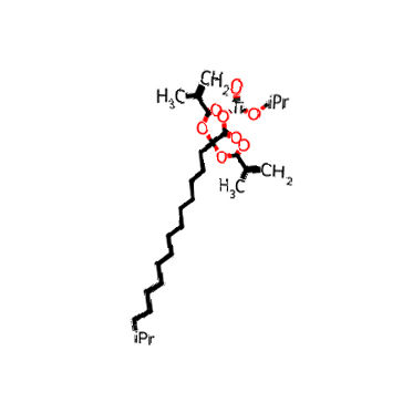 C=C(C)C(=O)OC(CCCCCCCCCCCCCC(C)C)(OC(=O)C(=C)C)C(=O)[O][Ti](=[O])[O]C(C)C